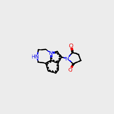 O=C1CCC(=O)N1c1cn2c3c(cccc13)CNCC2